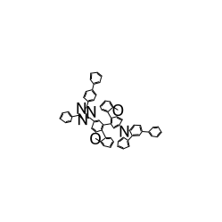 c1ccc(-c2ccc(-c3nc(-c4ccccc4)nc(-c4cc(-c5cc(-n6c7ccccc7c7cc(-c8ccccc8)ccc76)cc6oc7ccccc7c56)c5c(c4)oc4ccccc45)n3)cc2)cc1